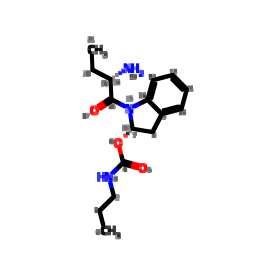 CCCNC(=O)O[C@H]1Cc2ccccc2N1C(=O)[C@@H](N)CC